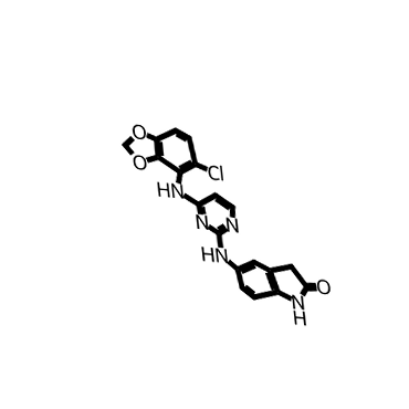 O=C1Cc2cc(Nc3nccc(Nc4c(Cl)ccc5c4OCO5)n3)ccc2N1